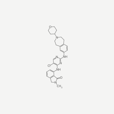 CN1Cc2cccc(Nc3nc(Nc4ccc5c(c4)CCN(C4CCOCC4)CC5)ncc3Cl)c2C1=O